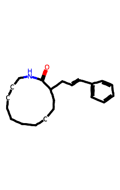 O=C1NCCCCCCCCCCC1CC=Cc1ccccc1